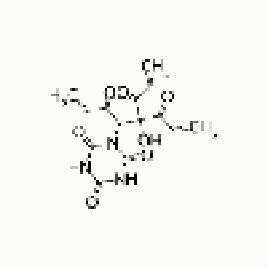 C=CC(=O)C(n1c(=O)[nH]c(=O)[nH]c1=O)C(O)(C(=O)C=C)C(=O)C=C